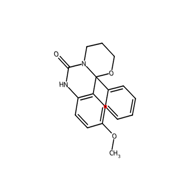 COc1ccc2c(c1)C1(c3ccccc3)OCCCN1C(=O)N2